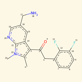 Cc1c(C(=O)Cc2cccc(F)c2F)c2cc(CN)cnc2n1C